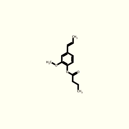 C/C=C/c1ccc(OC(=O)CCC)c(OC)c1